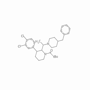 CC(C1C(c2ccc(Cl)c(Cl)c2)CCCN1C(=O)C(C)(C)C)N1CCC(Cc2ccccc2)CC1